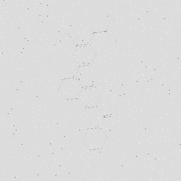 C=C(CC)C(=O)n1ccc(N2CCCc3cc(C(=O)N4CCC[C@@H](C)C4)cnc32)cc1=N